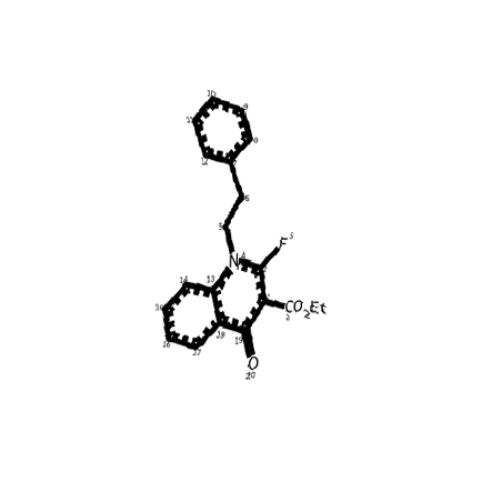 CCOC(=O)c1c(F)n(CCc2ccccc2)c2ccccc2c1=O